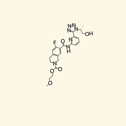 COCCOC(=O)N1CCc2cc(F)c(C(=O)Nc3cccc(-c4nnnn4[C@H](C)CO)n3)cc2C1